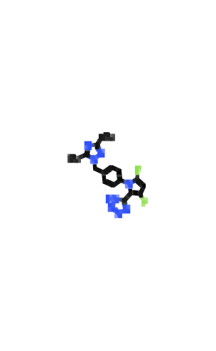 CCCCc1nc(C(C)CC)n(Cc2ccc(-n3c(F)cc(F)c3-c3nnn[nH]3)cc2)n1